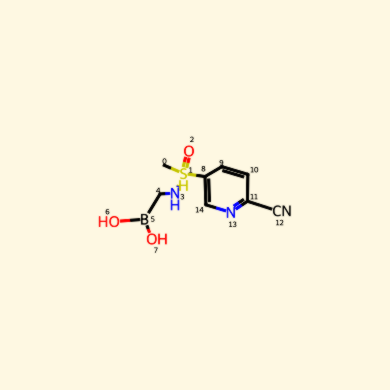 C[SH](=O)(NCB(O)O)c1ccc(C#N)nc1